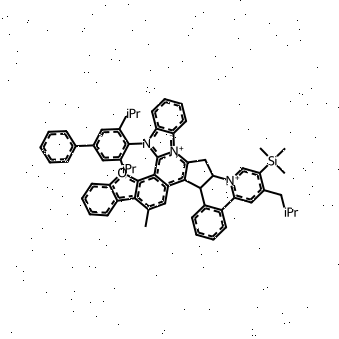 Cc1cc2c3c([n+]4c5ccccc5n(-c5c(C(C)C)cc(-c6ccccc6)cc5C(C)C)c4c2c2oc4ccccc4c12)CC1C3c2ccccc2-c2cc(CC(C)C)c([Si](C)(C)C)c[n+]21